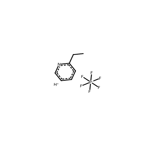 CCc1ccccn1.F[P-](F)(F)(F)(F)F.[H+]